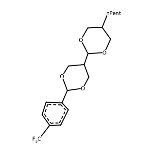 CCCCCC1COC(C2COC(c3ccc(C(F)(F)F)cc3)OC2)OC1